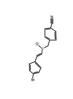 N#Cc1ccc(C[S+]([O-])C=Cc2ccc(Br)cc2)cc1